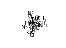 COC(=O)N1C[C@@H](Oc2ccccn2)C[C@@H]1c1cc2c(O[C@@H](C)[C@@H]3CCCN3C)nc3c(F)c(-c4cccc(Cl)c4Cl)c(CCC#N)cc3c2n1[C@H]1[C@H]2CN[C@@H]1C2